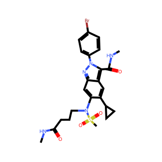 CNC(=O)CCCN(c1cc2nn(-c3ccc(Br)cc3)c(C(=O)NC)c2cc1C1CC1)S(C)(=O)=O